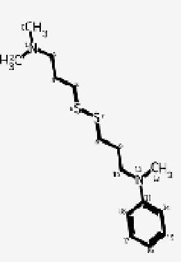 CN(C)CCCSSCCCN(C)c1ccccc1